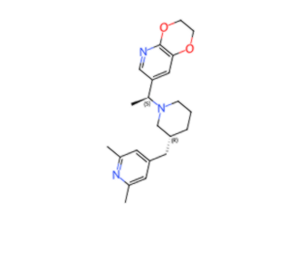 Cc1cc(C[C@H]2CCCN([C@@H](C)c3cnc4c(c3)OCCO4)C2)cc(C)n1